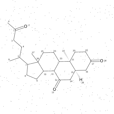 CC(=O)CCC(C)C1CCC2C3C(=O)C[C@@H]4CC(=O)CC[C@]4(C)C3CCC12C